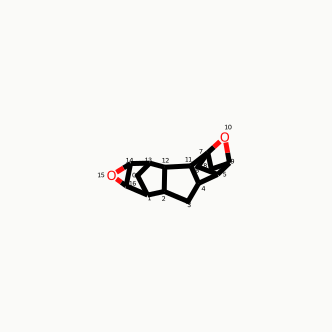 C1C2C3CC4C5CC6(CC5O6)C4C3C1C1OC21